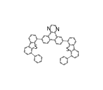 c1ccc(-c2cccc3c2sc2c(-c4ccc5c6ccc(-c7cccc8c7sc7c(-c9ccccc9)cccc78)cc6c6nccnc6c5c4)cccc23)cc1